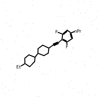 CCCc1cc(F)c(C#CC2CCC(C3CCC(CC)CC3)CC2)c(F)c1